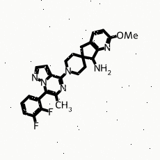 COc1ccc2c(n1)C(N)C1(CCN(c3nc(C)c(-c4cccc(F)c4F)n4nccc34)CC1)C2